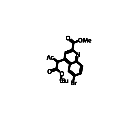 COC(=O)c1cc(C(C(C)=O)C(=O)OC(C)(C)C)c2cc(Br)ccc2n1